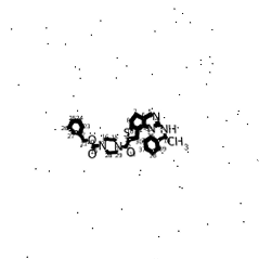 CC(Nc1ncc2ccc3sc(C(=O)N4CCN(C(=O)OCc5ccccc5)CC4)cc3c2n1)c1ccccc1